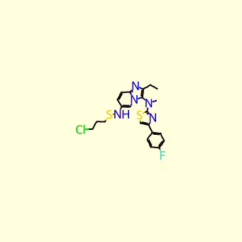 CCc1nc2ccc(NSCCCCl)cn2c1N(C)c1nc(-c2ccc(F)cc2)cs1